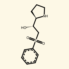 O=S(=O)(C[C@H](O)[C@H]1CCCN1)c1ccccc1